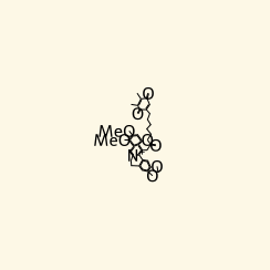 COc1ccc2c(CC(=O)OCCCCCC3=CC(=O)C(C)=C(C)C3=O)c3[n+](cc2c1OC)CCc1cc2c(cc1-3)OCO2